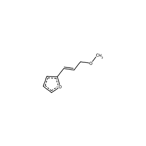 COCC=Cc1ccco1